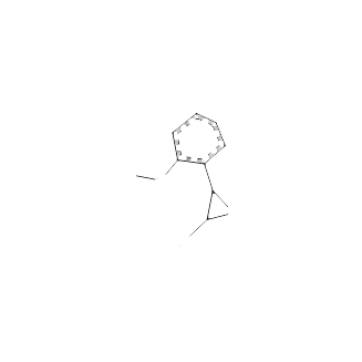 CCOc1ccccc1C1OC1C